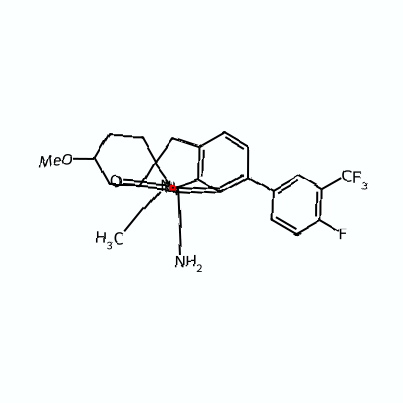 COC1CCC2(CC1)Cc1ccc(-c3ccc(F)c(C(F)(F)F)c3)cc1C21N=C(N)N(C)C1=O